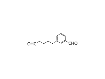 O=CCCCCc1cccc(C=O)c1